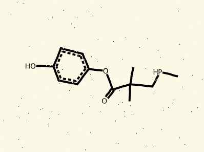 CPCC(C)(C)C(=O)Oc1ccc(O)cc1